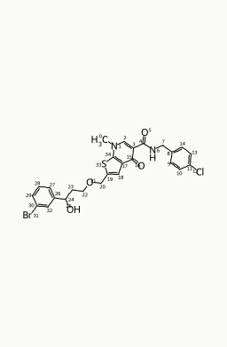 Cn1cc(C(=O)NCc2ccc(Cl)cc2)c(=O)c2cc(COCCC(O)c3cccc(Br)c3)sc21